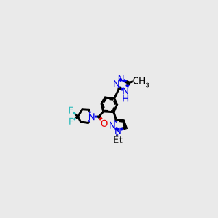 CCn1ccc(-c2cc(-c3nnc(C)[nH]3)ccc2C(=O)N2CCC(F)(F)CC2)n1